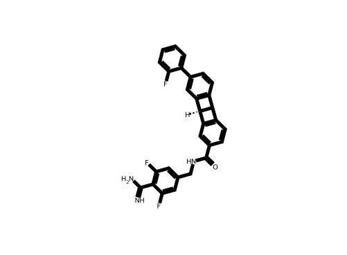 N=C(N)c1c(F)cc(CNC(=O)c2ccc3c(c2)[C@H]2c4cc(-c5ccccc5F)ccc4C32)cc1F